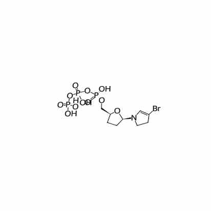 O=P(O)(O)OP(=O)(O)OP(=O)(O)OC[C@@H]1CC[C@H](N2C=C(Br)CC2)O1